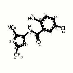 N#Cc1sc(C(F)(F)F)nc1NC(=O)c1cc(Cl)ccc1O